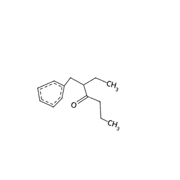 CCCC(=O)C(CC)Cc1ccccc1